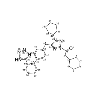 O=C(CC1CCCCC1)c1nc(Cc2ccc(-c3ccccc3-c3nnn[nH]3)cc2)n(C2CCCCC2)n1